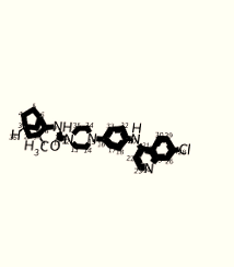 C[C@@H]1C[C@H]2CCC(C2)C1NC(=O)N1CCN(c2ccc(Nc3ccnc4cc(Cl)ccc34)cc2)CC1